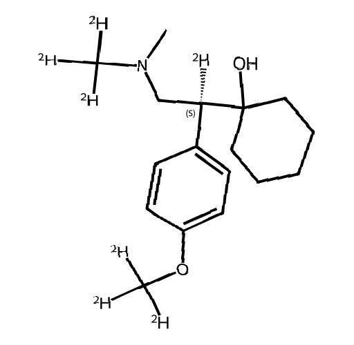 [2H]C([2H])([2H])Oc1ccc([C@@]([2H])(CN(C)C([2H])([2H])[2H])C2(O)CCCCC2)cc1